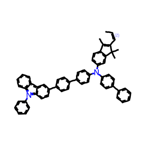 C/C=C\C1=C(C)c2ccc(N(c3ccc(-c4ccccc4)cc3)c3ccc(-c4ccc(-c5ccc6c(c5)c5ccccc5n6-c5ccccc5)cc4)cc3)cc2C1(C)C